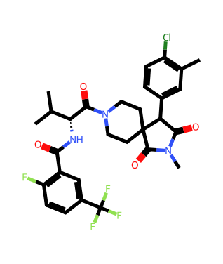 Cc1cc(C2C(=O)N(C)C(=O)C23CCN(C(=O)[C@H](NC(=O)c2cc(C(F)(F)F)ccc2F)C(C)C)CC3)ccc1Cl